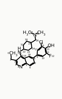 CCc1cnc2ccc(-c3cc(F)c(O)c(Cl)c3)cc2c1NC1CCC(CN(C)C)CC1